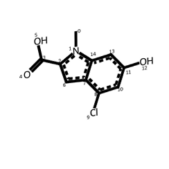 Cn1c(C(=O)O)cc2c(Cl)cc(O)cc21